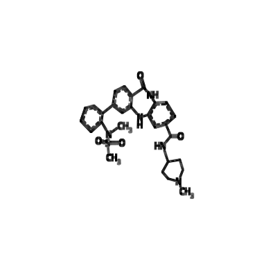 CN1CCC(NC(=O)c2ccc3c(c2)Nc2cc(-c4ccccc4N(C)S(C)(=O)=O)ccc2C(=O)N3)CC1